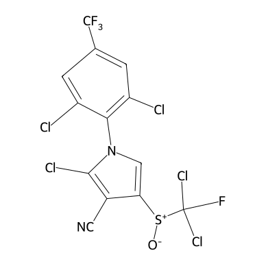 N#Cc1c([S+]([O-])C(F)(Cl)Cl)cn(-c2c(Cl)cc(C(F)(F)F)cc2Cl)c1Cl